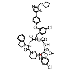 COC[C@@H]1NC(=O)[C@H](C)N(Cc2ccc(Cl)cc2Oc2ccc(-c3cnc(CN4CCCC4)n3C)cc2)C(=O)C[C@@H]([C@H]2CCc3ccccc32)C(=O)N2CCC[C@@](Cc3ccc(Cl)cc3)(C2)NC1=O